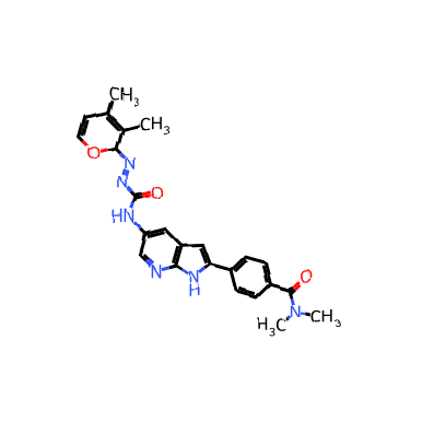 CC1=C(C)C(N=NC(=O)Nc2cnc3[nH]c(-c4ccc(C(=O)N(C)C)cc4)cc3c2)OC=C1